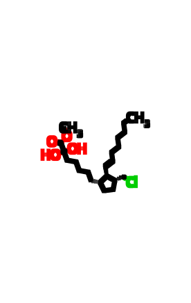 CCCCCCC=C[C@@H]1[C@@H](CCCCCC(O)(O)C(=O)OC)CC[C@H]1CCl